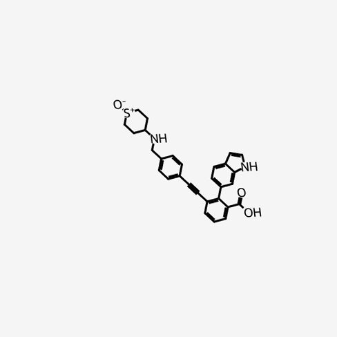 O=C(O)c1cccc(C#Cc2ccc(CNC3CC[S+]([O-])CC3)cc2)c1-c1ccc2cc[nH]c2c1